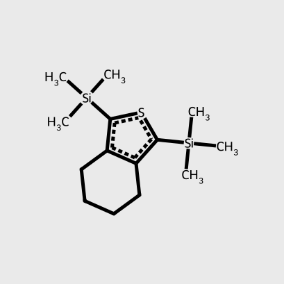 C[Si](C)(C)c1sc([Si](C)(C)C)c2c1CCCC2